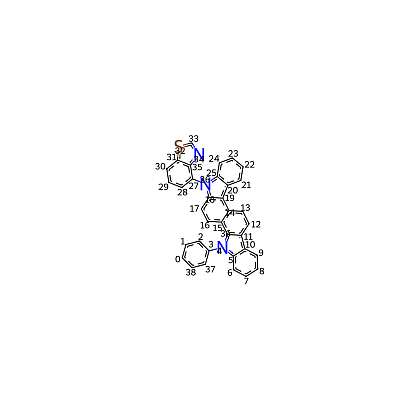 c1ccc(-n2c3ccccc3c3ccc4c(ccc5c4c4ccccc4n5-c4cccc5scnc45)c32)cc1